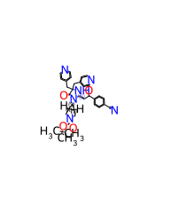 CC(C)(C)OC(=O)N1C[C@@H]2[C@H](C1)[C@H]2N1C(=O)C(Cc2ccncc2)(Cc2ccncc2)N/C1=C\C(=O)c1ccc(C#N)cc1